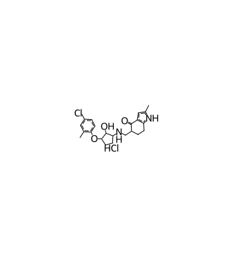 Cc1cc2c([nH]1)CCC(CNC1CCC(Oc3ccc(Cl)cc3C)C1O)C2=O.Cl